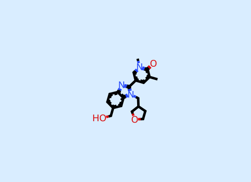 Cc1cc(-c2nc3ccc(CO)cc3n2CC2CCOC2)cn(C)c1=O